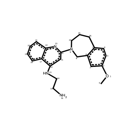 COc1ccc2c(c1)CN(c1cc(NCCN)c3ccccc3n1)CCC2